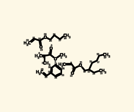 C=C(C)C(=O)OC.C=CC(=O)OCC(CC)CCCC.C=CC(=O)OCCCC.C=Cc1ccccc1